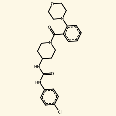 O=C(Nc1ccc(Cl)cc1)NC1CCN(C(=O)c2ccccc2N2CCOCC2)CC1